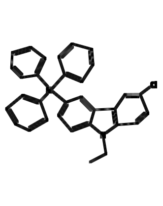 CCn1c2ccc(Cl)cc2c2cc([Si](c3ccccc3)(c3ccccc3)c3ccccc3)ccc21